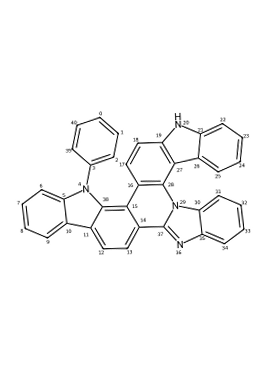 c1ccc(-n2c3ccccc3c3ccc4c(c5ccc6[nH]c7ccccc7c6c5n5c6ccccc6nc45)c32)cc1